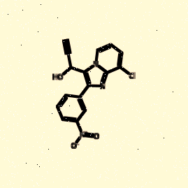 C#CC(O)c1c(-c2cccc([N+](=O)[O-])c2)nc2c(Cl)cccn12